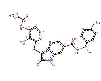 CCCCc1ccc([C@H](C)NC(=O)c2ccc3c(Cc4cccc(O[C@H](C)C(=O)O)c4Cl)c(C)n(C)c3c2)cc1